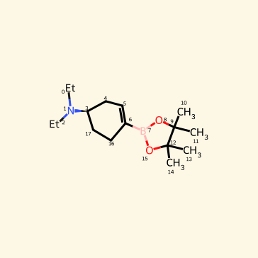 CCN(CC)[C@H]1CC=C(B2OC(C)(C)C(C)(C)O2)CC1